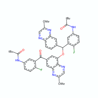 COc1cnc2ccc(C(Oc3cc(C(=O)c4cc(NC(=O)C(C)(C)C)ccc4F)cc4nc(OC)cnc34)c3cc(NC(=O)C(C)(C)C)ccc3F)cc2n1